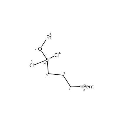 CCCCCCCC[Si](Cl)(Cl)OCC